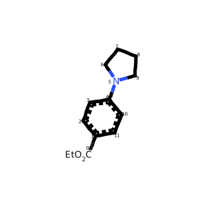 CCOC(=O)c1ccc(N2CCCC2)cc1